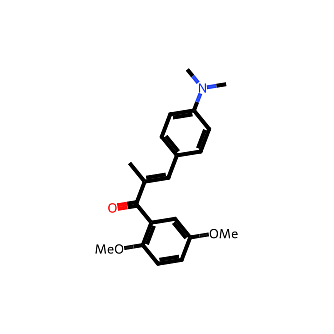 COc1ccc(OC)c(C(=O)C(C)=Cc2ccc(N(C)C)cc2)c1